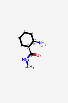 CNC(=O)[C@H]1CCCC[C@H]1N